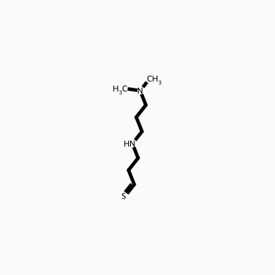 CN(C)CCCNCCC=S